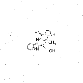 CC1=C/C(=N\c2c(OCCO)nn3ccccc23)C(=N)C2C=CNC12